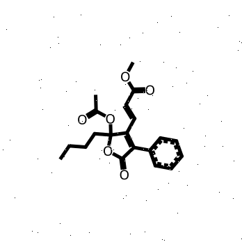 CCCCC1(OC(C)=O)OC(=O)C(c2ccccc2)=C1/C=C/C(=O)OC